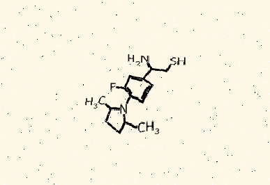 CC1CCC(C)N1c1ccc(C(N)CS)cc1F